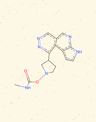 CNC(=O)ON1CCC(c2nncc3cnc4[nH]ccc4c23)C1